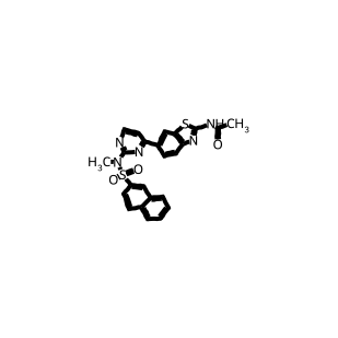 CC(=O)Nc1nc2ccc(-c3ccnc(N(C)S(=O)(=O)c4ccc5ccccc5c4)n3)cc2s1